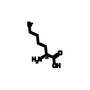 N[C@@H](CCCCBr)C(=O)O